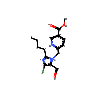 CCCCc1nc(Cl)c(C=O)n1Cc1ccc(C(=O)OC)cn1